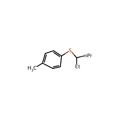 CCCC(CC)Sc1ccc(C)cc1